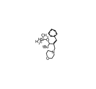 C[SiH](C)OC(C(=Cc1ccccc1)CN1CCOCC1)C(C)(C)C